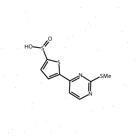 CSc1nccc(-c2ccc(S(=O)O)s2)n1